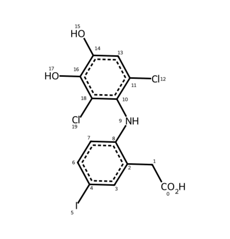 O=C(O)Cc1cc(I)ccc1Nc1c(Cl)cc(O)c(O)c1Cl